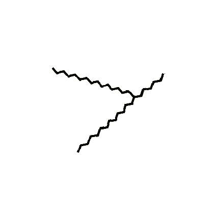 [CH2]CCCCCC(CCCCCCCCCCCCC)CCCCCCCCCCCCCCC